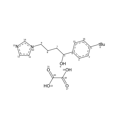 CC(C)(C)c1ccc(C(O)CCCn2ccnc2)cc1.O=C(O)C(=O)O